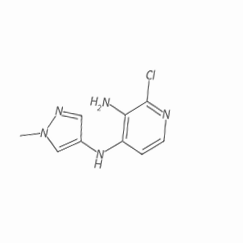 Cn1cc(Nc2ccnc(Cl)c2N)cn1